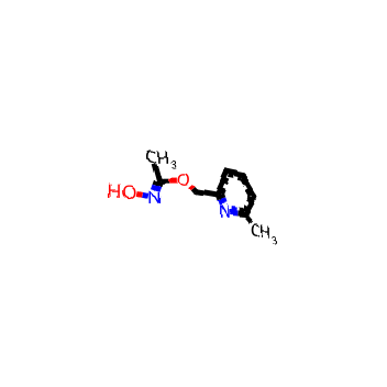 CC(=NO)OCc1cccc(C)n1